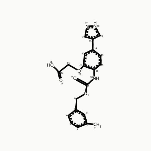 Cc1cccc(COC(=O)Nc2ccc(-c3cn[nH]c3)cc2OCC(=O)O)c1